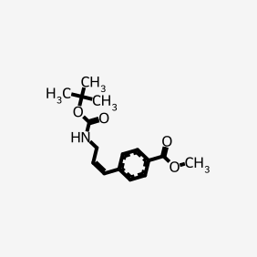 COC(=O)c1ccc(/C=C\CNC(=O)OC(C)(C)C)cc1